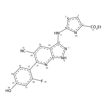 CCOC(=O)c1csc(Nc2n[nH]c3nc(-c4ccc(O)cc4F)c(C#N)cc23)n1